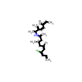 C=C/C=C(F)\C=C(\CC)C[C@@H](C)CC(=C)NC(C)C(=C)/C=C\C(C)=C/C